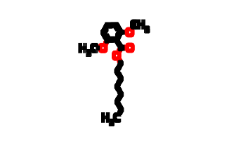 CCCCCCCCOC(=O)c1c(OC)cccc1OC